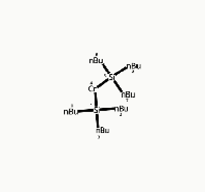 CCCC[Si](CCCC)(CCCC)[Cr][Si](CCCC)(CCCC)CCCC